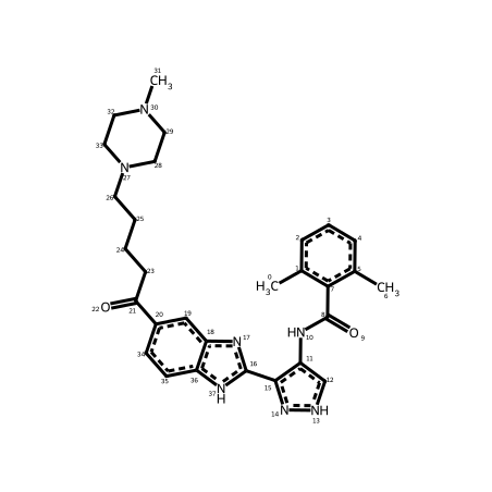 Cc1cccc(C)c1C(=O)Nc1c[nH]nc1-c1nc2cc(C(=O)CCCCN3CCN(C)CC3)ccc2[nH]1